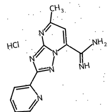 Cc1cc(C(=N)N)n2nc(-c3ccccn3)nc2n1.Cl